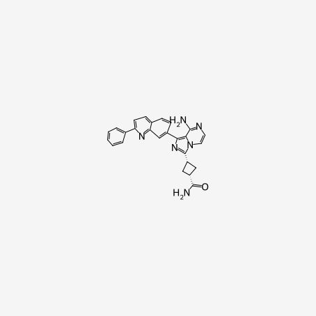 Nc1nccn2c1c(-c1ccc3ccc(-c4ccccc4)nc3c1)nc2[C@H]1C[C@@H](C(N)=O)C1